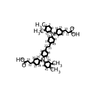 Cc1ccc(N(c2ccc(CCC(=O)O)cc2)c2ccc(CCc3ccc(N(c4ccc(CCC(=O)O)cc4)c4ccc(C)c(C)c4)cc3)cc2)cc1C